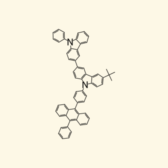 CC(C)(C)c1ccc2c(c1)c1cc(-c3ccc4c(c3)c3ccccc3n4-c3ccccc3)ccc1n2-c1ccc(-c2c3ccccc3c(-c3ccccc3)c3ccccc23)cc1